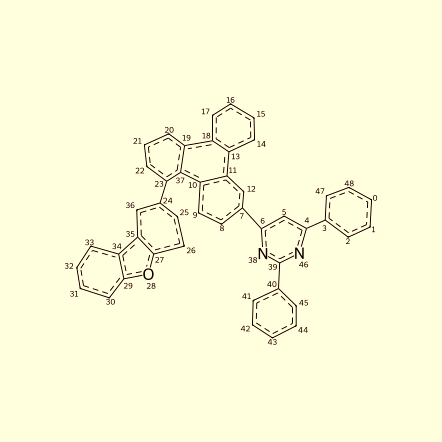 c1ccc(-c2cc(-c3ccc4c(c3)c3ccccc3c3cccc(-c5ccc6oc7ccccc7c6c5)c34)nc(-c3ccccc3)n2)cc1